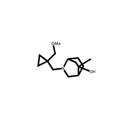 COCC1(CN2CC3CCC2CC3(C)O)CC1